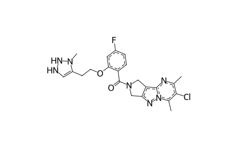 Cc1nc2c3c(nn2c(C)c1Cl)CN(C(=O)c1ccc(F)cc1OCCC1=CNNN1C)C3